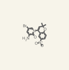 CC1(C)C=C(n2cc(Br)cc(N)c2=O)c2cc([N+](=O)[O-])ccc2O1